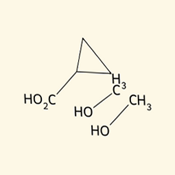 CO.CO.O=C(O)C1CC1